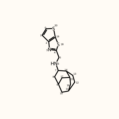 c1cc2nc(CNC3CC4CC5CCC3C(C5)C4)sc2s1